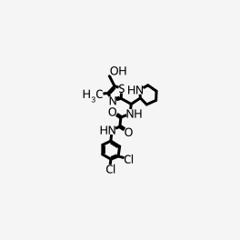 Cc1nc(C(NC(=O)C(=O)Nc2ccc(Cl)c(Cl)c2)C2CCCCN2)sc1CO